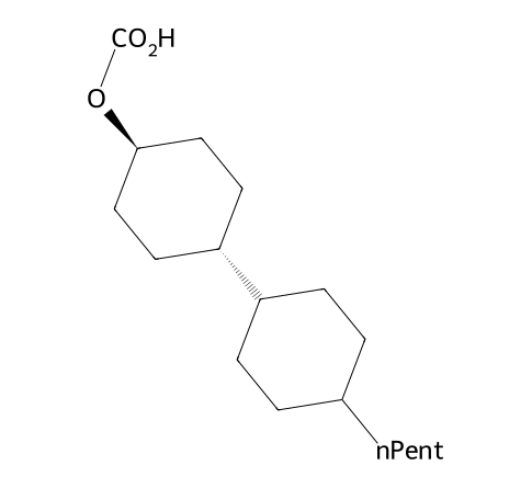 CCCCCC1CCC([C@H]2CC[C@H](OC(=O)O)CC2)CC1